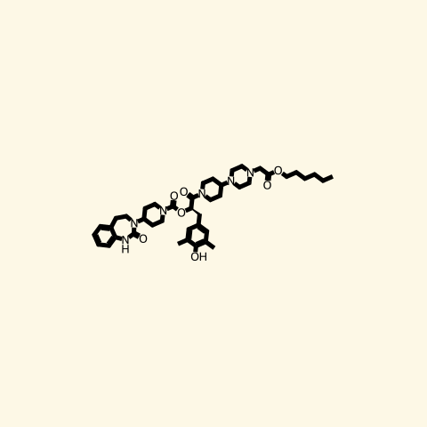 CCCCCCOC(=O)CN1CCN(C2CCN(C(=O)[C@@H](Cc3cc(C)c(O)c(C)c3)OC(=O)N3CCC(N4CCc5ccccc5NC4=O)CC3)CC2)CC1